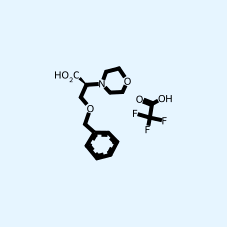 O=C(O)C(F)(F)F.O=C(O)[C@H](COCc1ccccc1)N1CCOCC1